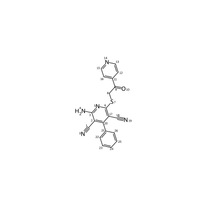 N#Cc1c(N)nc(SCC(=O)c2ccncc2)c(C#N)c1-c1ccccc1